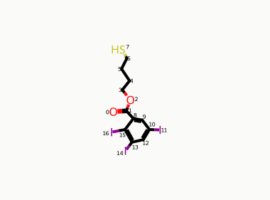 O=C(OCCCCS)c1cc(I)cc(I)c1I